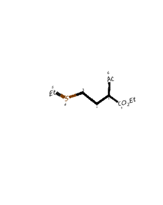 CCOC(=O)C(CCSCC)C(C)=O